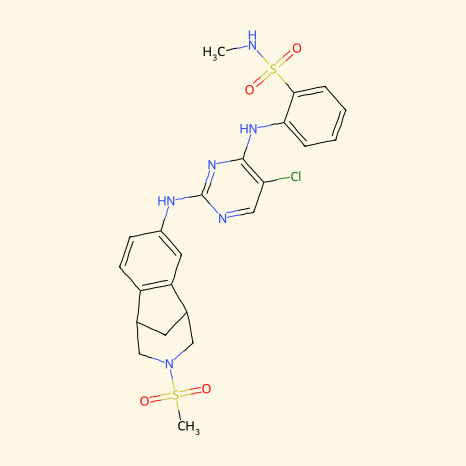 CNS(=O)(=O)c1ccccc1Nc1nc(Nc2ccc3c(c2)C2CC3CN(S(C)(=O)=O)C2)ncc1Cl